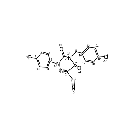 N#Cc1nn(-c2ccc(F)cc2)c(=O)n(Cc2ccc(Cl)cc2)c1=O